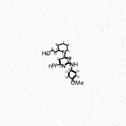 CCCc1cc(N2CCCCC2CCO)nc(Nc2ccc(OC)cc2)n1